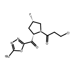 CC(C)(C)c1nnc(C(=O)[C@@H]2C[C@H](F)CN2C(=O)CCCl)o1